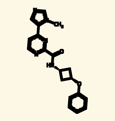 Cn1cncc1-c1ccnc(C(=O)N[C@H]2C[C@H](Oc3ccccc3)C2)n1